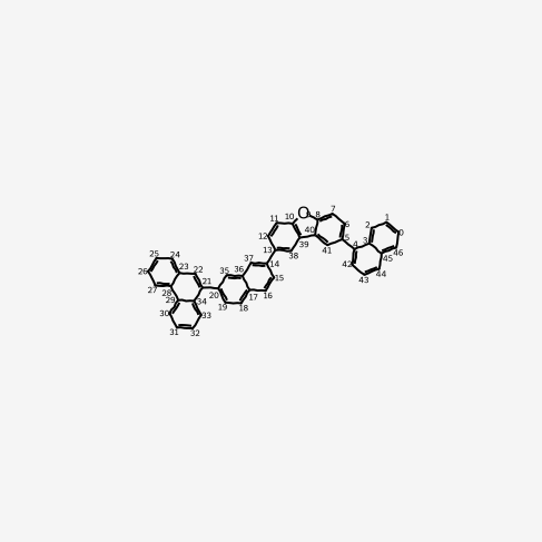 c1ccc2c(-c3ccc4oc5ccc(-c6ccc7ccc(-c8cc9ccccc9c9ccccc89)cc7c6)cc5c4c3)cccc2c1